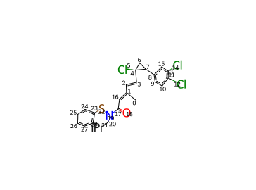 CC(/C=C/[C@]1(Cl)CC1c1ccc(Cl)c(Cl)c1)=C\C(=O)N(CC(C)C)Sc1ccccc1